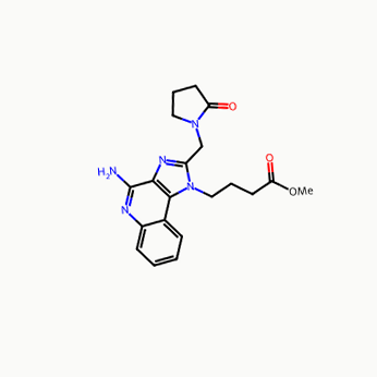 COC(=O)CCCn1c(CN2CCCC2=O)nc2c(N)nc3ccccc3c21